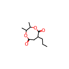 CCCC1CC(=O)OC(C)C(C)OC1=O